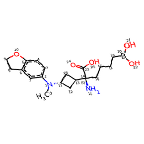 CN(c1ccc2c(c1)CCO2)[C@H]1C[C@H]([C@@](N)(CCCCB(O)O)C(=O)O)C1